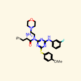 COc1ccc(Sc2nc(Nc3cccc(F)c3)nc(N(CCN3CCOCC3)C(=O)[C@@H](N)CC(C)C)n2)cc1